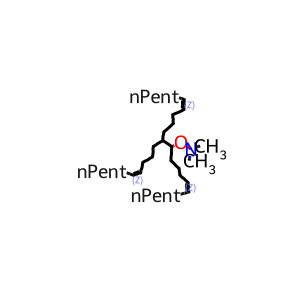 CCCCC/C=C\CCCC(CCC/C=C\CCCCC)C(CCC/C=C\CCCCC)ON(C)C